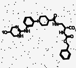 O=C(N[C@@H](CNC(=O)C1CCN(c2cccc(NC3=NCC(O)CN3)c2)CC1)C(=O)O)OCc1ccccc1